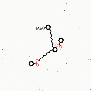 COc1cccc(CCCCCCCCc2c(CCCCCCCCOC(=O)c3ccccc3)cccc2OC(=O)c2ccccc2)c1